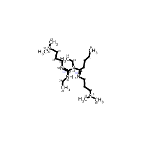 CCCC/C(=N\CCCN(C)C)N(CC)/C(=N\CCCN(C)C)NCC